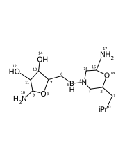 CC(C)CC1CN(BCC2OC(N)C(O)C2O)CC(N)O1